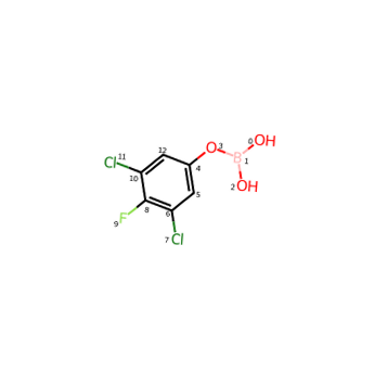 OB(O)Oc1cc(Cl)c(F)c(Cl)c1